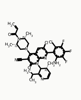 C=CC(=O)N1[C@H](C)CN(c2c(C#N)c(=O)n(C3C(C(C)C)=NC=C[C@H]3C)c3nc(-c4c(N)c(F)c(F)c(F)c4Cl)c(Cl)cc23)C[C@@H]1C